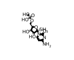 Nc1ccn([C@]2([SiH3])O[C@H](COP(=O)(O)O)[C@@H](O)[C@H]2O)c(=O)n1